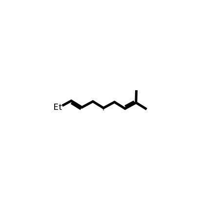 CCC=CC[CH]CC=C(C)C